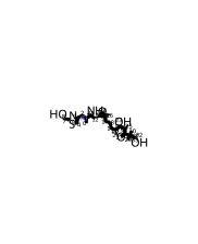 C/C(=C\c1csc(CO)n1)[C@@H](N)C[C@@H]1O[C@]1(C)CCC[C@H](C)[C@H](O)[C@@H](C)C(=O)C(C)(C)[C@H](C)O